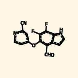 N#Cc1cc(Oc2c(F)c(F)c3[nH]ccc3c2C=O)ccn1